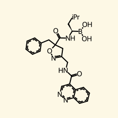 CC(C)C[C@H](NC(=O)C1(Cc2ccccc2)CC(CNC(=O)c2cnnc3ccccc23)=NO1)B(O)O